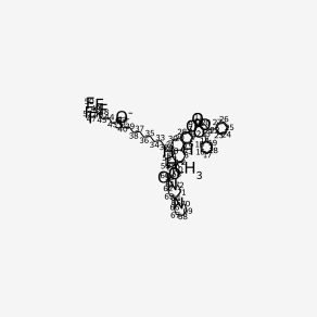 C[C@]12CC[C@@H]3c4ccc(OP(=O)(OCc5ccccc5)OCc5ccccc5)cc4C[C@@H](CCCCCCCCC[S+]([O-])CCCC(F)(F)C(F)(F)F)[C@H]3[C@@H]1CC[C@@H]2OC(=O)N1CCC(N2CCCCC2)CC1